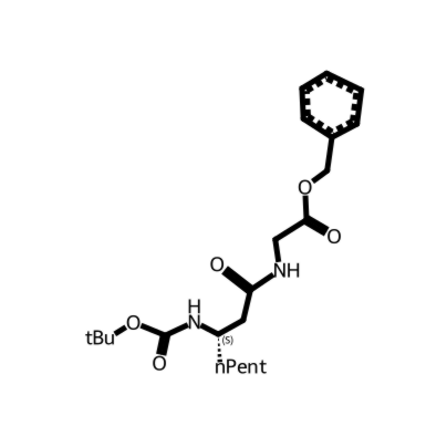 CCCCC[C@@H](CC(=O)NCC(=O)OCc1ccccc1)NC(=O)OC(C)(C)C